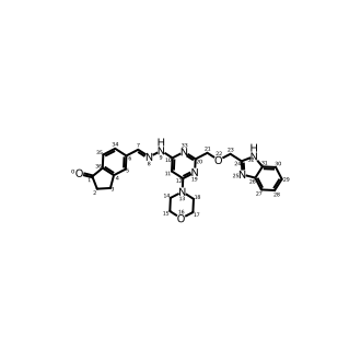 O=C1CCc2cc(C=NNc3cc(N4CCOCC4)nc(COCc4nc5ccccc5[nH]4)n3)ccc21